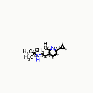 Cc1nc(C2CC2)ccc1CCNC(C)(C)C